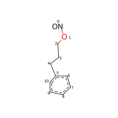 O=NOCCCc1ccccc1